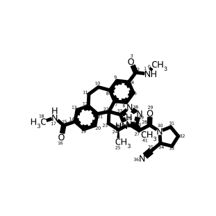 CNC(=O)c1ccc2c(c1)CCc1cc(C(=O)NC)ccc1C2(C[C@H](C)NCC(=O)N1CCCC1C#N)c1nnc(C)[nH]1